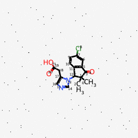 CC1(C)C(=O)c2cc(Cl)ccc2C1n1cncc1CC(=O)O